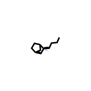 CCC/C=C1/C=C2CCC1C2